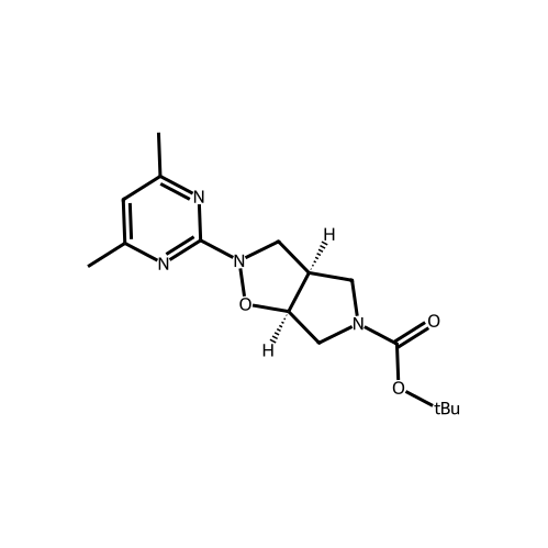 Cc1cc(C)nc(N2C[C@H]3CN(C(=O)OC(C)(C)C)C[C@H]3O2)n1